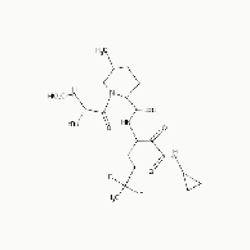 CC1CCC(C(=O)NC(CCC(C)(F)F)C(=O)C(=O)NC2CC2)N(C(=O)[C@@H](NC(=O)O)C(C)(C)C)C1